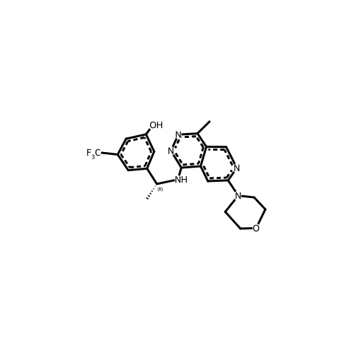 Cc1nnc(N[C@H](C)c2cc(O)cc(C(F)(F)F)c2)c2cc(N3CCOCC3)ncc12